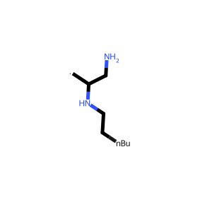 [CH2]C(CN)NCCCCCC